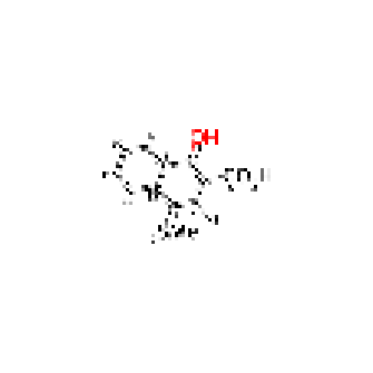 CSc1c(C)c(C(=O)O)c(O)c2ccccc12